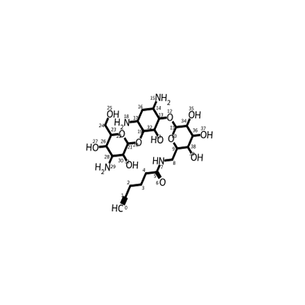 C#CCCCC(=O)NCC1OC(OC2C(N)CC(N)C(OC3OC(CO)C(O)C(N)C3O)C2O)C(O)C(O)C1O